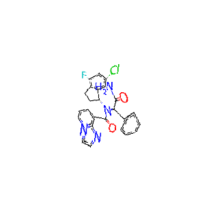 NC(=O)[C@@H](c1ccccc1)N(C(=O)c1cccn2ccnc12)[C@@H]1CCc2c(F)cc(Cl)cc21